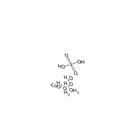 O.O.O.O.O.O=S(=O)(O)O.[Co]